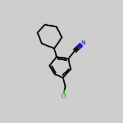 N#Cc1cc(CCl)ccc1C1CCCCC1